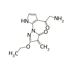 C=C1C(=O)N(c2[nH]ccc2C(=O)CN)N=C1OCC